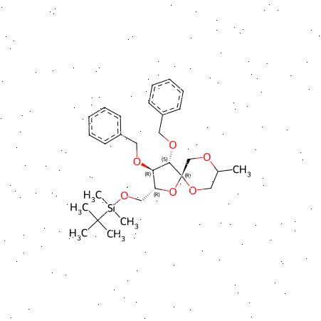 CC1CO[C@]2(CO1)O[C@H](CO[Si](C)(C)C(C)(C)C)[C@@H](OCc1ccccc1)[C@@H]2OCc1ccccc1